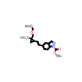 COCOCC1(C(=O)O)CC1C=Cc1ccc2c(cnn2C(=O)OC(C)(C)C)c1